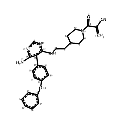 C=C(C#N)C(=O)N1CCC(CCNc2ncnc(N)c2-c2ccc(Oc3ccccc3)cc2)CC1